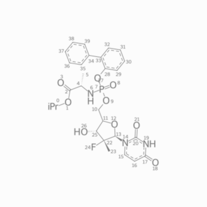 CC(C)OC(=O)[C@H](C)NP(=O)(OCC1O[C@@H](n2ccc(=O)[nH]c2=O)[C@](C)(F)[C@@H]1O)Oc1ccccc1-c1ccccc1